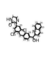 O=C1NCC=NN1c1cc(Cl)c(Cc2ccc(C(O)c3ccc4ccccc4n3)cc2)c(Cl)c1